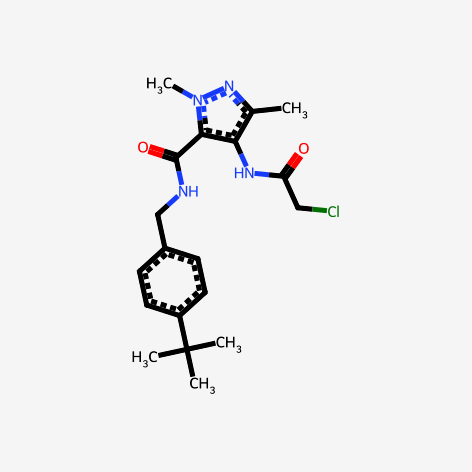 Cc1nn(C)c(C(=O)NCc2ccc(C(C)(C)C)cc2)c1NC(=O)CCl